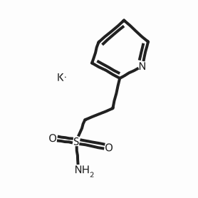 NS(=O)(=O)CCc1ccccn1.[K]